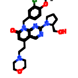 COc1ccc(Cn2c(=O)cc(CCN3CCOCC3)c3cnc(N4CCC[C@H]4CO)nc32)cc1Cl